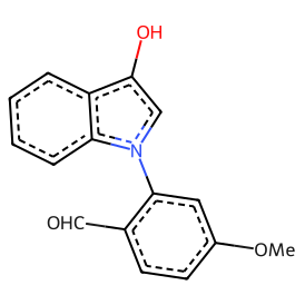 COc1ccc(C=O)c(-n2cc(O)c3ccccc32)c1